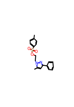 Cc1ccc(S(=O)(=O)OCCn2nc(-c3ccccc3)cc2C)cc1